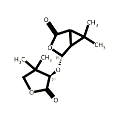 CC1(C)C2C(=O)O[C@@H](O[C@H]3C(=O)OCC3(C)C)C21